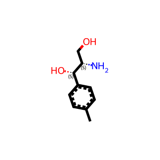 Cc1ccc([C@H](O)[C@@H](N)CO)cc1